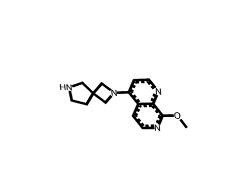 COc1nccc2c(N3CC4(CCNC4)C3)ccnc12